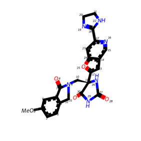 COc1ccc2c(c1)C(=O)N(C[C@@]1(c3cc4cnc(C5=NCCN5)cc4o3)NC(=O)NC1=O)C2